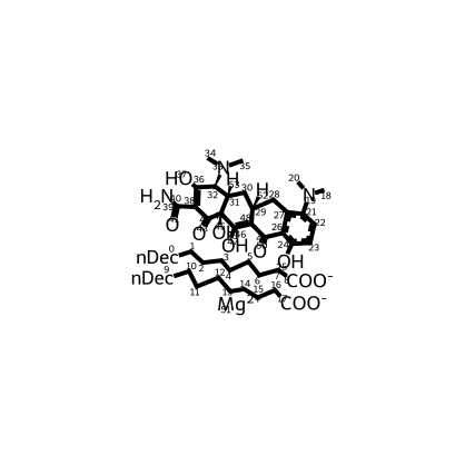 CCCCCCCCCCCCCCCCCC(=O)[O-].CCCCCCCCCCCCCCCCCC(=O)[O-].CN(C)c1ccc(O)c2c1C[C@H]1C[C@H]3[C@H](N(C)C)C(O)=C(C(N)=O)C(=O)[C@@]3(O)C(O)=C1C2=O.[Mg+2]